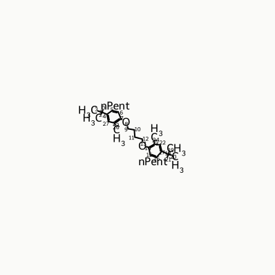 CCCCCC(C)(C)c1ccc(OCCCCOc2ccc(C(C)(C)CCCCC)cc2C)c(C)c1